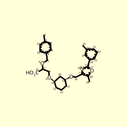 Cc1ccc(COC(CO[C@@H]2CCC[C@H](OCc3nc(-c4cccc(C)c4)oc3C)C2)C(=O)O)cc1